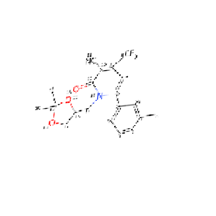 Cc1cccc(-c2cc(C(F)(F)F)c(C#N)c(=O)n2CC2COC(C)(C)O2)c1